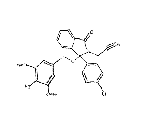 C#CCN1C(=O)c2ccccc2C1(OCc1cc(OC)c(O)c(OC)c1)c1ccc(Cl)cc1